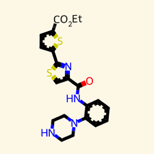 CCOC(=O)c1ccc(-c2nc(C(=O)Nc3ccccc3N3CCNCC3)cs2)s1